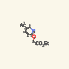 CCOC(=O)COc1ccc(C(C)=O)cn1